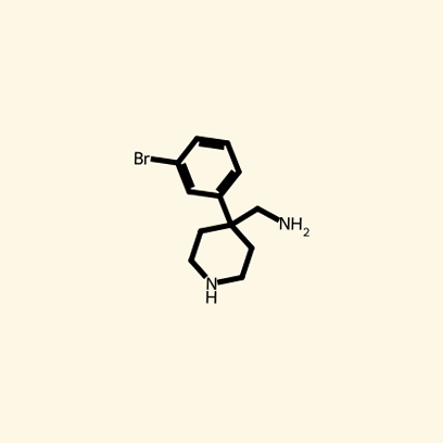 NCC1(c2cccc(Br)c2)CCNCC1